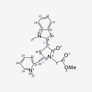 COC(=O)Cn1c(=O)/c(=C2\Sc3ccccc3N2C)s/c1=C\c1cccc[n+]1C